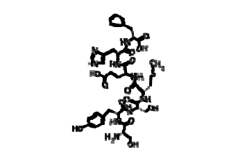 CSCC[C@H](NC(=O)[C@H](CO)NC(=O)[C@H](Cc1ccc(O)cc1)NC(=O)[C@@H](N)CO)C(=O)N[C@@H](CCC(=O)O)C(=O)N[C@@H](Cc1c[nH]cn1)C(=O)N[C@@H](Cc1ccccc1)C(=O)O